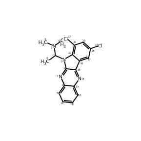 CC(N(C)C)n1c2nc3ccccc3nc2c2cc(Cl)cc(Cl)c21